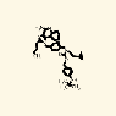 CCCCc1nc2c(N)nc3ccccc3c2n1Cc1ccc(CN(CCC2CC2)C(=O)OCc2ccc(NC(C)(C)C)cc2)cc1